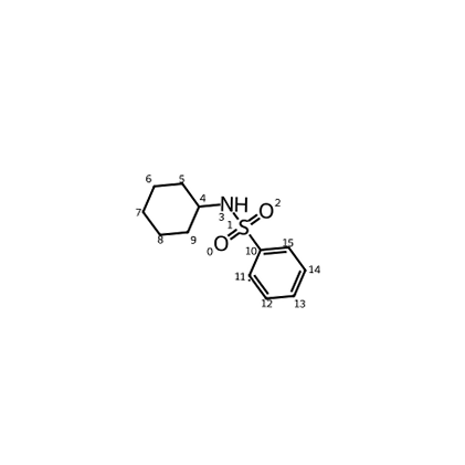 O=S(=O)(NC1CCCCC1)c1[c]cccc1